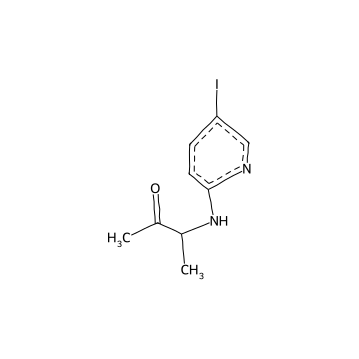 CC(=O)C(C)Nc1ccc(I)cn1